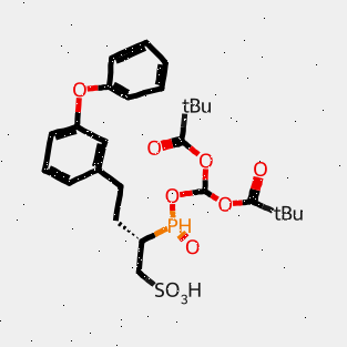 CC(C)(C)C(=O)OC(OC(=O)C(C)(C)C)O[PH](=O)[C@@H](CCc1cccc(Oc2ccccc2)c1)CS(=O)(=O)O